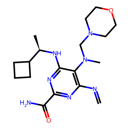 C=Nc1nc(C(N)=O)nc(N[C@H](C)C2CCC2)c1N(C)CN1CCOCC1